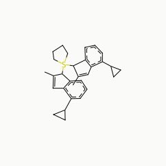 CC1=Cc2c(C3CC3)cccc2C1S1(C2C(C)=Cc3c(C4CC4)cccc32)CCCC1